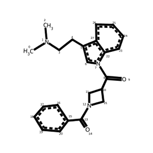 CN(C)CCc1cn(C(=O)C2CN(C(=O)c3ccccc3)C2)c2ccccc12